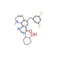 CN1CC=Cc2c(Cc3cc(F)cc(F)c3)cc3c(=O)n(C4CCCCC4O)cnc3c21